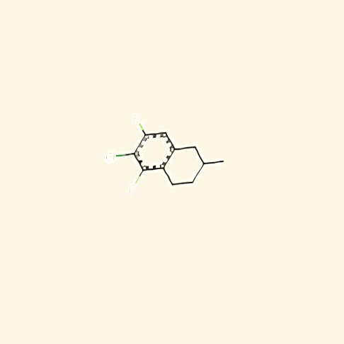 CC1CCc2c(cc(F)c(Cl)c2F)C1